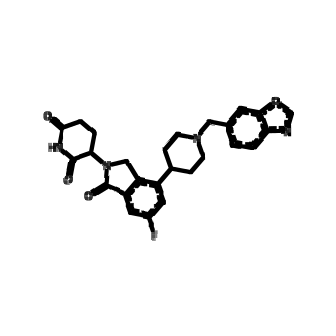 O=C1CCC(N2Cc3c(cc(F)cc3C3CCN(Cc4ccc5ncoc5c4)CC3)C2=O)C(=O)N1